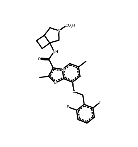 Cc1cc(OCc2c(F)cccc2F)c2nc(C)c(C(=O)NC34CCC3CN(C(=O)O)C4)n2c1